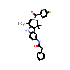 CCOC(=O)C1=CN(C(=O)c2ccc(F)cc2)CC(C)(C)c2c1[nH]c1ccc(NC(=O)Cc3ccccc3)cc21